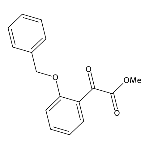 COC(=O)C(=O)c1ccccc1OCc1ccccc1